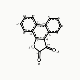 O=C1Oc2c(c3ccccc3c3ccccc23)C1=O